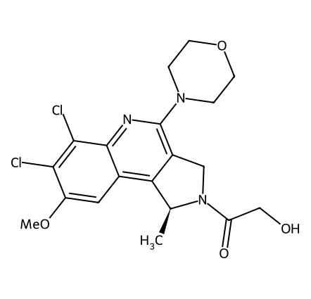 COc1cc2c3c(c(N4CCOCC4)nc2c(Cl)c1Cl)CN(C(=O)CO)[C@H]3C